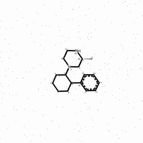 C[C@@H]1CN(C2CCCCC2c2ccccc2)CCN1